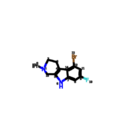 CC(C)N1CCc2c([nH]c3cc(F)cc(Br)c23)C1